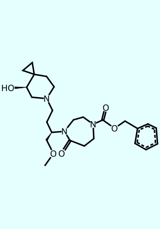 COC[C@@H](CCN1CCC2(CC2)[C@H](O)C1)N1CCN(C(=O)OCc2ccccc2)CCC1=O